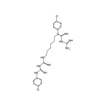 N=C(N)NC(=N)N(CCCCCCNC(=N)NC(=N)Nc1ccc(Cl)cc1)c1ccc(Cl)cc1